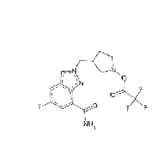 NC(=O)c1cc(F)cc2cn(CC3CCN(OC(=O)C(F)(F)F)C3)nc12